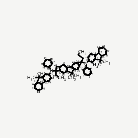 CCCC1(N(c2ccccc2)c2ccc3c(c2)C(C)(C)C2C=CC=CC32)c2cc3c(cc21)C(C)(C)c1cc2c(cc1-3)CC2(CC)N(c1ccccc1)c1ccc2c(c1)C(C)(C)c1ccccc1-2